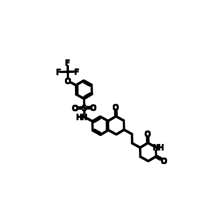 O=C1CCC(CCC2CC(=O)c3cc(NS(=O)(=O)c4cccc(OC(F)(F)F)c4)ccc3C2)C(=O)N1